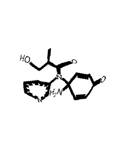 CC(CO)C(=O)N(c1cccnc1)C1(N)C=CC(=O)C=C1